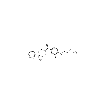 Cc1cc(C(=O)N2CCC3(c4ccccn4)COC3C2)ccc1OCCOC(F)(F)F